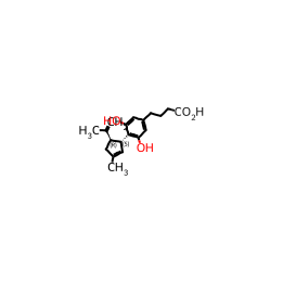 C=C(C)[C@@H]1CC(C)=C[C@H]1c1c(O)cc(CCCC(=O)O)cc1O